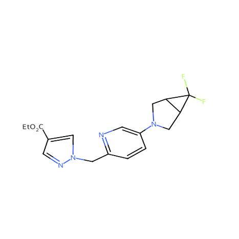 CCOC(=O)c1cnn(Cc2ccc(N3CC4C(C3)C4(F)F)cn2)c1